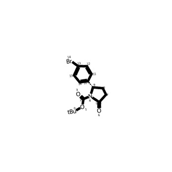 CC(C)(C)OC(=O)N1C(=O)CC[C@H]1c1ccc(Br)cc1